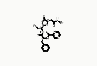 CC(C)C[C@H](NC(=O)[C@H](Cc1ccccc1)NC(=O)c1cnccn1)B1OC(=O)[C@@H](CC(=O)NC(C)C)O1